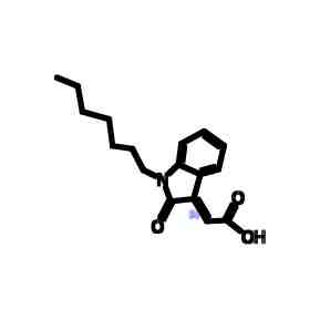 CCCCCCCN1C(=O)/C(=C/C(=O)O)c2ccccc21